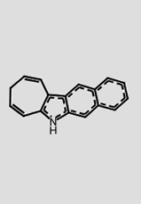 C1=Cc2[nH]c3cc4ccccc4cc3c2C=CC1